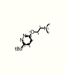 CN(C)CCOc1ccc(C(C)(C)C)nn1